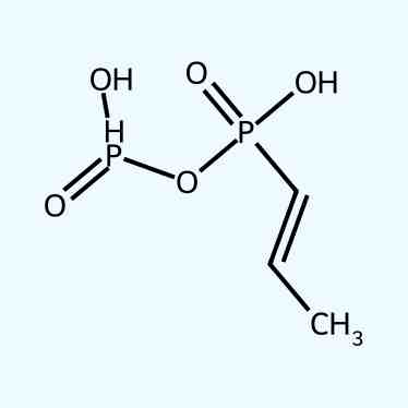 CC=CP(=O)(O)O[PH](=O)O